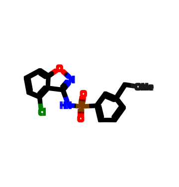 COCc1cccc(S(=O)(=O)Nc2noc3cccc(Cl)c23)c1